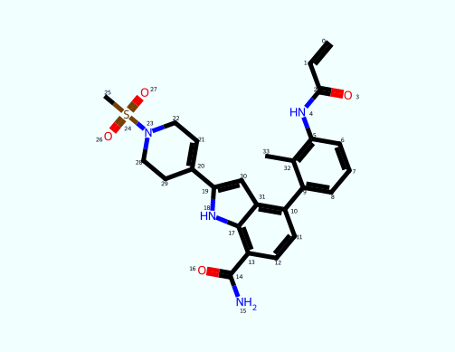 C=CC(=O)Nc1cccc(-c2ccc(C(N)=O)c3[nH]c(C4=CCN(S(C)(=O)=O)CC4)cc23)c1C